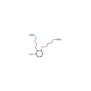 CCCCCCCCCCCCCCOc1cccc(O)c1CCCCCCCCCCCCCC